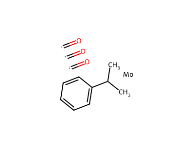 CC(C)c1ccccc1.[C]=O.[C]=O.[C]=O.[Mo]